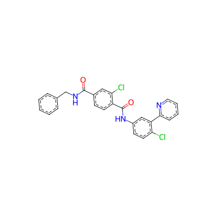 O=C(NCc1ccccc1)c1ccc(C(=O)Nc2ccc(Cl)c(-c3ccccn3)c2)c(Cl)c1